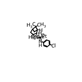 CCOC(=O)[C@@H]1CC2C[C@@H]([C@H]1NC(=O)Nc1ccc(Cl)cc1)C2(C)C